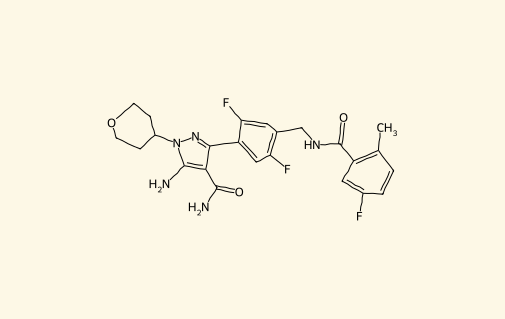 Cc1ccc(F)cc1C(=O)NCc1cc(F)c(-c2nn(C3CCOCC3)c(N)c2C(N)=O)cc1F